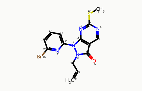 C=CCn1c(=O)c2cnc(SC)nc2n1-c1cccc(Br)n1